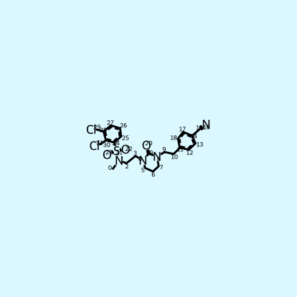 CN(CCN1CCCN(CCc2ccc(C#N)cc2)C1=O)S(=O)(=O)c1cccc(Cl)c1Cl